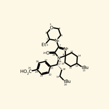 CCC1COCCN1C1=NC2(CCC(C(C)(C)C)CC2)N([C@H](CCC(C)(C)C)c2ccc(C(=O)O)cc2)C1=O